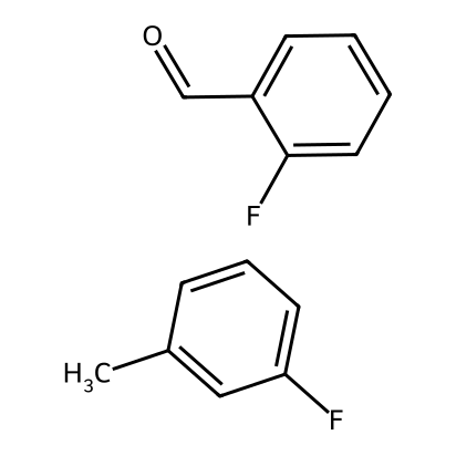 Cc1cccc(F)c1.O=Cc1ccccc1F